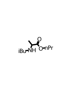 CCCOC(=O)C(C)NC(C)CC